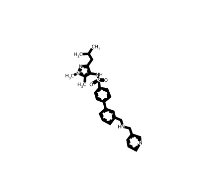 Cc1c(NS(=O)(=O)c2ccc(-c3cccc(CNCc4cccnc4)c3)cc2)c(CC(C)C)nn1C